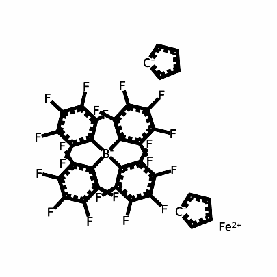 Fc1c(F)c(F)c([B-](c2c(F)c(F)c(F)c(F)c2F)(c2c(F)c(F)c(F)c(F)c2F)c2c(F)c(F)c(F)c(F)c2F)c(F)c1F.[Fe+2].c1cc[cH-]c1.c1cc[cH-]c1